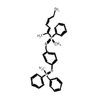 CC/C=C\C=C(/C)P(C)(=Nc1ccc(N=P(C)(c2ccccc2)c2ccccc2)cc1)c1ccccc1